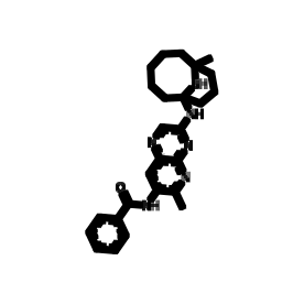 Cc1nc2nc(NC34BC(C)(CCCCC3)CCC4)cnc2cc1NC(=O)c1ccccc1